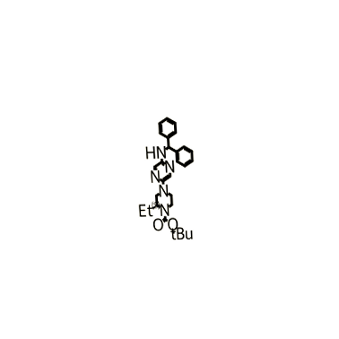 CC[C@H]1CN(c2cnc(NC(c3ccccc3)c3ccccc3)cn2)CCN1C(=O)OC(C)(C)C